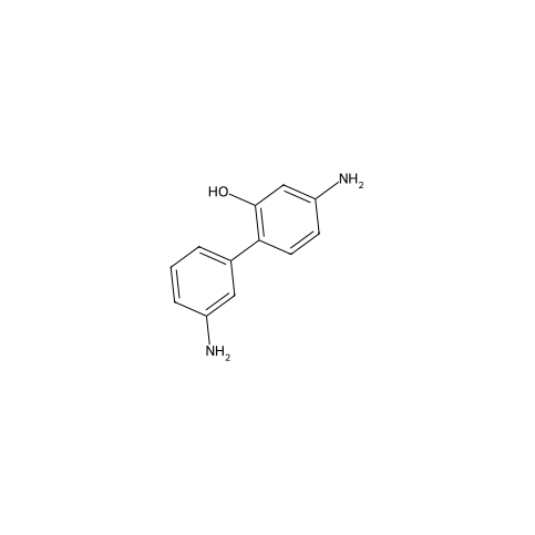 Nc1cccc(-c2ccc(N)cc2O)c1